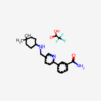 CC1(C)CCC(NCc2ccc(-c3cccc(C(N)=O)c3)nc2)CC1.O=C(O)C(F)(F)F